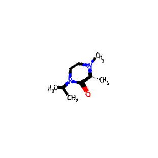 CC(C)N1CCN(C)[C@H](C)C1=O